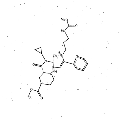 COC(=O)NCCCN(C)/C(=C\C(=N)[C@@H](C)N(C(=O)[C@H]1CN(C(=O)OC(C)(C)C)CCO1)C1CC1)c1ccccn1